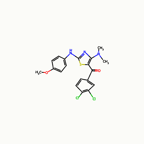 COc1ccc(Nc2nc(N(C)C)c(C(=O)c3ccc(Cl)c(Cl)c3)s2)cc1